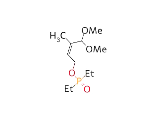 CCP(=O)(CC)OCC=C(C)C(OC)OC